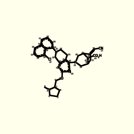 CN1CCCC1COc1nc2c(c(N3CC4CC(=CC#N)C(C3)N4C(=O)O)n1)CCN(c1cccc3cccc(Cl)c13)C2